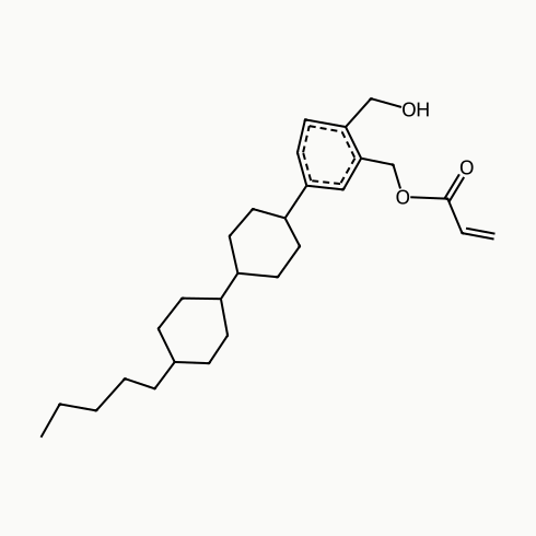 C=CC(=O)OCc1cc(C2CCC(C3CCC(CCCCC)CC3)CC2)ccc1CO